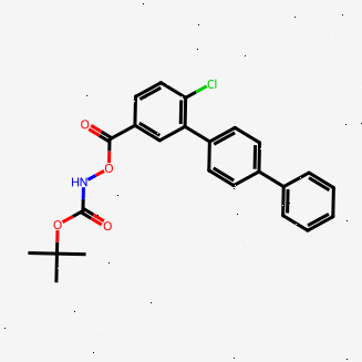 CC(C)(C)OC(=O)NOC(=O)c1ccc(Cl)c(-c2ccc(-c3ccccc3)cc2)c1